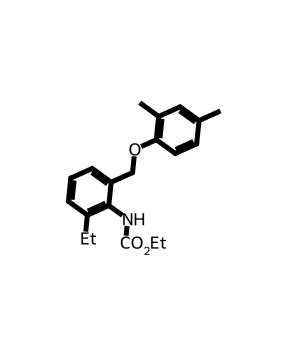 CCOC(=O)Nc1c(CC)cccc1COc1ccc(C)cc1C